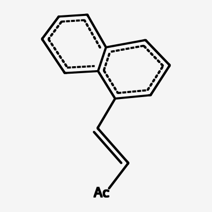 CC(=O)C=Cc1cccc2ccccc12